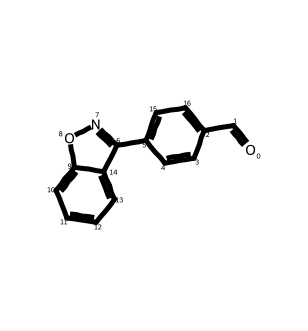 O=Cc1ccc(-c2noc3ccccc23)cc1